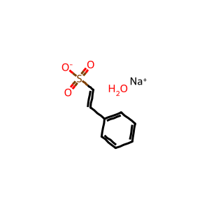 O.O=S(=O)([O-])C=Cc1ccccc1.[Na+]